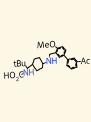 COc1ccc(-c2cccc(C(C)=O)c2)cc1CNC1CCC(C(NC(=O)O)C(C)(C)C)CC1